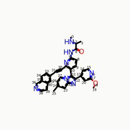 CNC(C)C(=O)Nc1ccc(-c2c(-c3ccnc(OC)c3)nc3cc(C)ccn23)c(C#Cc2ccc3cnccc3c2)n1